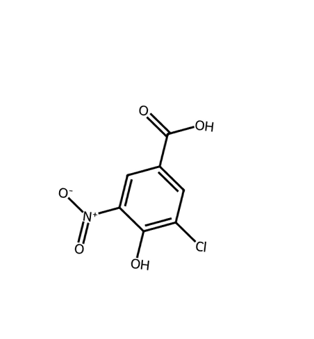 O=C(O)c1cc(Cl)c(O)c([N+](=O)[O-])c1